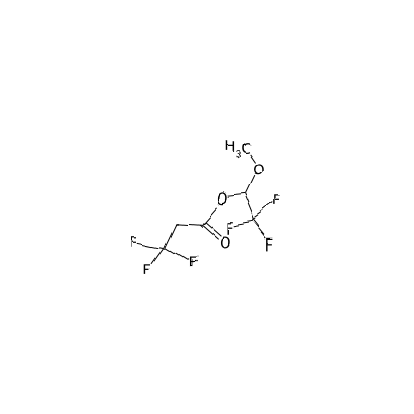 COC(OC(=O)CC(F)(F)F)C(F)(F)F